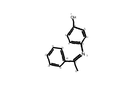 CC(=Nc1ccc(O)cc1)c1ccccc1